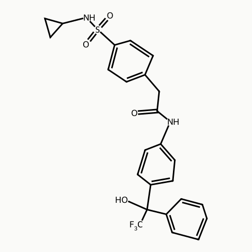 O=C(Cc1ccc(S(=O)(=O)NC2CC2)cc1)Nc1ccc(C(O)(c2ccccc2)C(F)(F)F)cc1